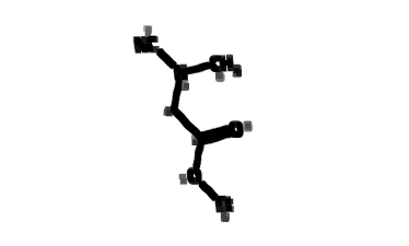 CCOC(=O)CN(C)C#N